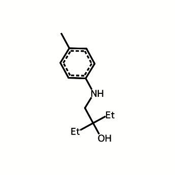 CCC(O)(CC)CNc1ccc(C)cc1